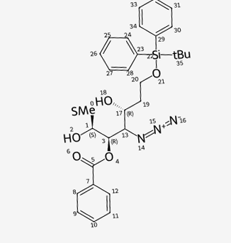 CS[C@H](O)[C@H](OC(=O)c1ccccc1)C(N=[N+]=[N-])[C@H](O)CCO[Si](c1ccccc1)(c1ccccc1)C(C)(C)C